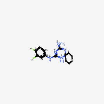 NC1=NC2(CCCCC2)NC(Nc2ccc(F)c(F)c2)=N1